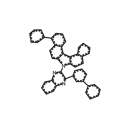 c1ccc(-c2cccc(-c3nc4ccccc4nc3-n3c4ccc5ccccc5c4c4c5cccc(-c6ccccc6)c5ccc43)c2)cc1